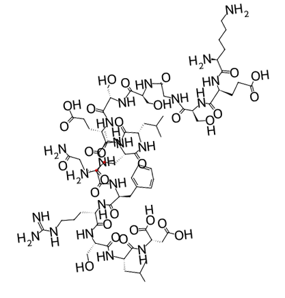 CC(C)C[C@H](NC(=O)[C@H](CCC(N)=O)NC(=O)[C@H](CCC(=O)O)NC(=O)[C@H](CO)NC(=O)[C@H](CO)NC(=O)CNC(=O)[C@H](CO)NC(=O)[C@H](CCC(=O)O)NC(=O)[C@@H](N)CCCCN)C(=O)N[C@@H](C)C(=O)N[C@@H](CCC(N)=O)C(=O)N[C@@H](Cc1ccccc1)C(=O)N[C@@H](CCCNC(=N)N)C(=O)N[C@@H](CO)C(=O)N[C@@H](CC(C)C)C(=O)N[C@@H](CC(=O)O)C(=O)O